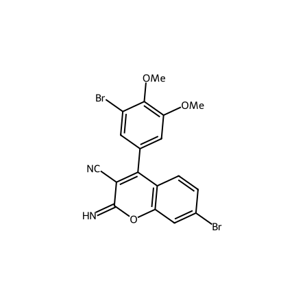 COc1cc(-c2c(C#N)c(=N)oc3cc(Br)ccc23)cc(Br)c1OC